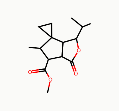 COC(=O)C1C2C(=O)OC(C(C)C)C2C2(CC2)C1C